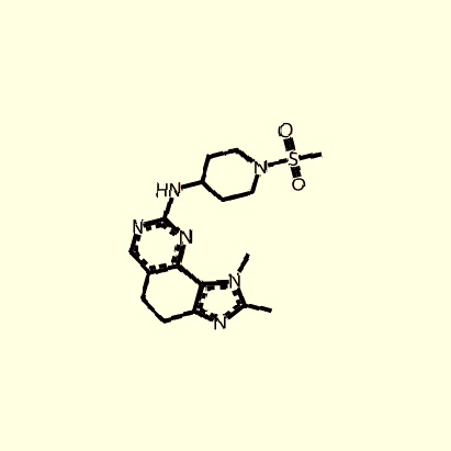 Cc1nc2c(n1C)-c1nc(NC3CCN(S(C)(=O)=O)CC3)ncc1CC2